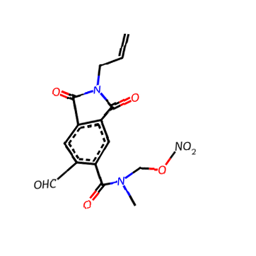 C=CCN1C(=O)c2cc(C=O)c(C(=O)N(C)CO[N+](=O)[O-])cc2C1=O